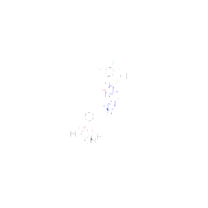 CCSc1nc(=O)n(Cc2ncnn2CCc2cccc(C(=O)OC(C)(C)C)c2)c(=O)n1Cc1cc(F)c(F)cc1F